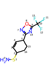 NSC1C=CC(c2noc(C(F)(F)F)n2)CC1